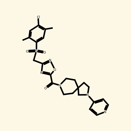 Cc1cc(S(=O)(=O)Cc2noc(C(=O)N3CCC4(CC3)CCN(c3ccncc3)C4)n2)c(C)cc1Cl